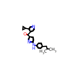 CC(C)Cc1ccc(Nc2ccc(C(=O)c3ccncc3C3CC3)cn2)cc1